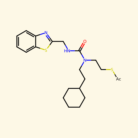 CC(=O)SCCN(CCC1CCCCC1)C(=O)NCc1nc2ccccc2s1